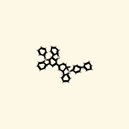 CC12C=CC(c3cc4c5ccccc5n(-c5ccccc5)c4c4c3oc3ccccc34)=CC1c1ccccc1N2c1ccc(-c2ccccc2)cc1